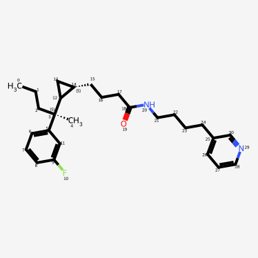 CCC[C@](C)(c1cccc(F)c1)C1C[C@@H]1CCCC(=O)NCCCCc1cccnc1